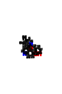 C=CC1CN2CC[C@H]1CCC2(OCc1ccccc1)c1ccnc2ccc(O)cc12